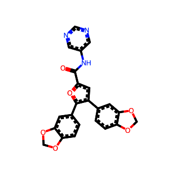 O=C(Nc1cncnc1)c1cc(-c2ccc3c(c2)OCO3)c(-c2ccc3c(c2)OCO3)o1